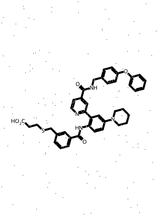 O=C(O)CCSCc1cccc(C(=O)Nc2ccc(N3CCCCC3)cc2-c2cc(C(=O)NCc3ccc(Oc4ccccc4)cc3)ccn2)c1